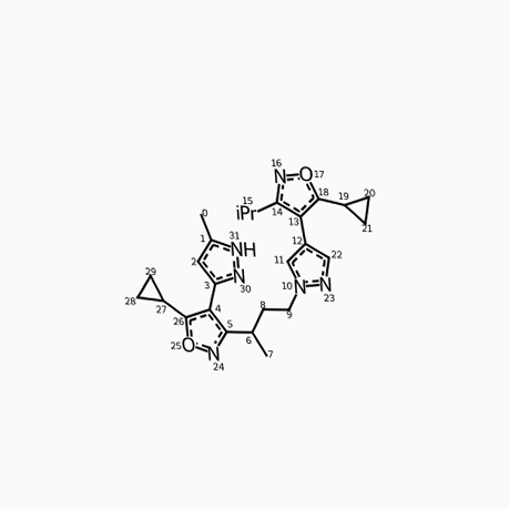 Cc1cc(-c2c(C(C)CCn3cc(-c4c(C(C)C)noc4C4CC4)cn3)noc2C2CC2)n[nH]1